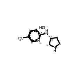 Cc1ccc(N[C@@H]2CCNC2)nc1.Cl